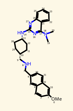 COc1ccc2cc(CNC[C@H]3CC[C@@H](Nc4nc(N(C)C)c5ccccc5n4)CC3)ccc2c1